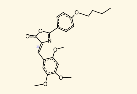 CCCCOc1ccc(C2=N/C(=C\c3cc(OC)c(OC)cc3OC)C(=O)O2)cc1